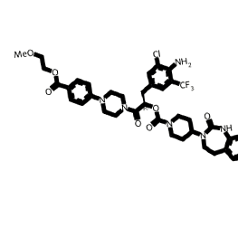 COCCOC(=O)c1ccc(N2CCN(C(=O)[C@@H](Cc3cc(Cl)c(N)c(C(F)(F)F)c3)OC(=O)N3CCC(N4CCc5ccccc5NC4=O)CC3)CC2)cc1